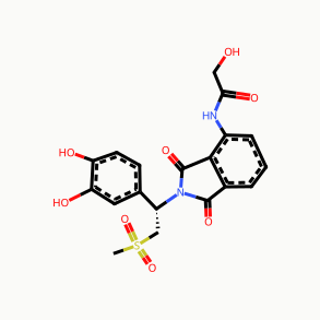 CS(=O)(=O)C[C@H](c1ccc(O)c(O)c1)N1C(=O)c2cccc(NC(=O)CO)c2C1=O